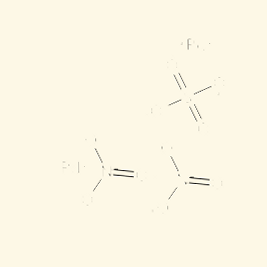 O=S(=O)([O-])[O-].O=[N+]([O-])[O-].O=[N+]([O-])[O-].[Pd+2].[Pd+2]